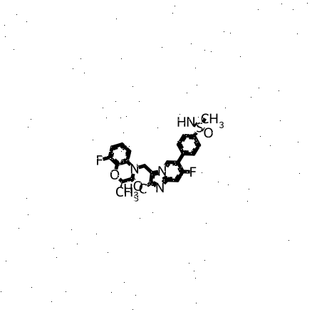 Cc1nc2cc(F)c(-c3ccc(S(C)(=N)=O)cc3)cn2c1CN1C(=O)[C@H](C)Oc2c(F)cccc21